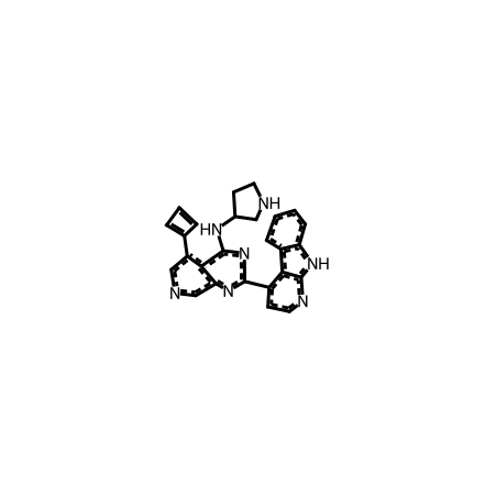 C1=CC(c2cncc3nc(-c4ccnc5[nH]c6ccccc6c45)nc(NC4CCNC4)c23)=C1